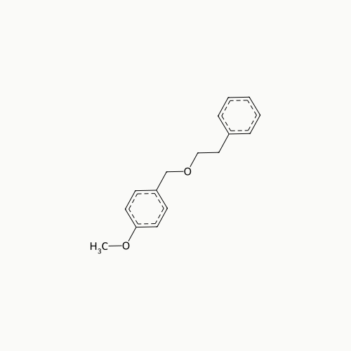 COc1ccc(COCCc2ccccc2)cc1